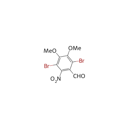 COc1c(Br)c(C=O)c([N+](=O)[O-])c(Br)c1OC